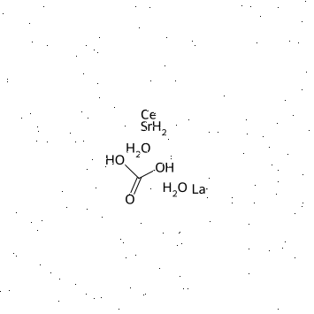 O.O.O=C(O)O.[Ce].[La].[SrH2]